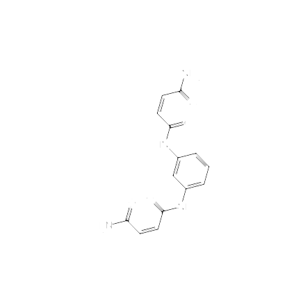 NC(=O)/C=C\C(=O)Nc1cccc(NC(=O)/C=C\C(N)=O)c1